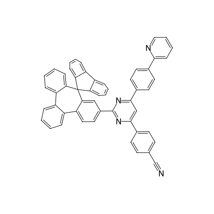 N#Cc1ccc(-c2cc(-c3ccc(-c4ccccn4)cc3)nc(-c3ccc4c(c3)C3(c5ccccc5-c5ccccc5-4)c4ccccc4-c4ccccc43)n2)cc1